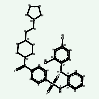 O=C(c1ccc(S(=O)(=O)Nc2ccccc2Oc2ccc(Cl)cc2Cl)cc1)N1CCC(CCN2CCCC2)CC1